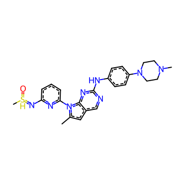 Cc1cc2cnc(Nc3ccc(N4CCN(C)CC4)cc3)nc2n1-c1cccc(/N=[SH](/C)=O)n1